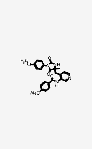 COc1ccc(C(=O)Nc2cnccc2CC2(C)NC(=O)N(c3ccc(OC(F)(F)F)cc3)C2=O)cc1